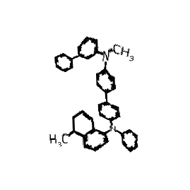 CC1CC=Cc2c1cccc2N(c1ccccc1)c1ccc(-c2ccc(N(C)c3cccc(-c4ccccc4)c3)cc2)cc1